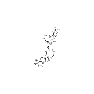 BC1(c2ccc3c(c2)CCS3(=O)=O)CCCCC(OCC23CCCCC(C(=O)OC(C)(C)C)(CCC2)C3)CC1